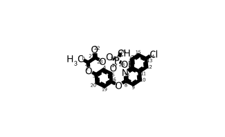 CC(Oc1ccc(Oc2ccc3cc(Cl)ccc3n2)cc1)C(=O)OOP(C)(=O)O